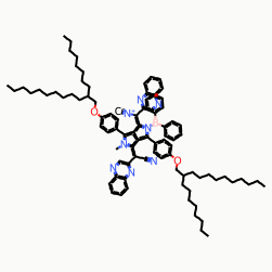 [C-]#[N+]/C(c1cnc2ccccc2n1)=c1\c2c(-c3ccc(OCC(CCCCCCCC)CCCCCCCCCC)cc3)n(C)/c(=C(/C#N)c3cnc4ccccc4n3)c2c(-c2ccc(OCC(CCCCCCCC)CCCCCCCCCC)cc2)n1B(c1ccccc1)c1ccccc1